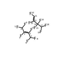 F/C(=C(/F)C(F)F)C(F)F.F/C=C(\F)C(F)(F)C(F)F